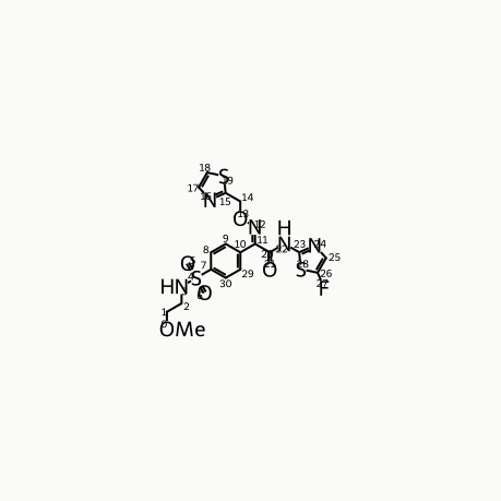 COCCNS(=O)(=O)c1ccc(/C(=N\OCc2nccs2)C(=O)Nc2ncc(F)s2)cc1